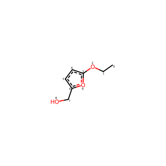 CCOc1ccc(CO)o1